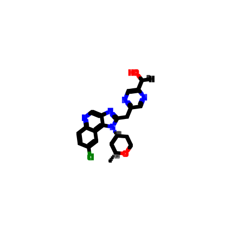 [2H]C(O)c1cnc(Cc2nc3cnc4ccc(Cl)cc4c3n2[C@@H]2CCO[C@H](C)C2)cn1